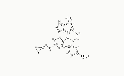 Cc1cc2c(c3cc[nH]c13)C(N1CC[C@@H](OCC3CC3)C[C@@H]1c1ccc(C(=O)O)cc1)CCS2